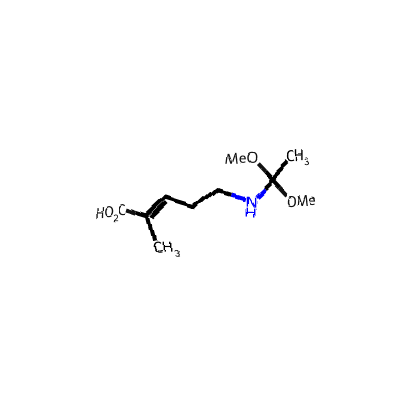 COC(C)(NCCC=C(C)C(=O)O)OC